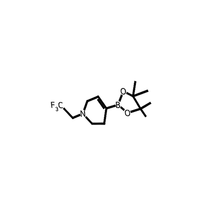 CC1(C)OB(C2=CCN(CC(F)(F)F)CC2)OC1(C)C